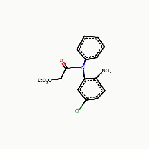 CCOC(=O)CC(=O)N(c1ccccc1)c1cc(Cl)ccc1[N+](=O)[O-]